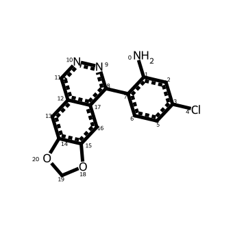 Nc1cc(Cl)ccc1-c1nncc2cc3c(cc12)OCO3